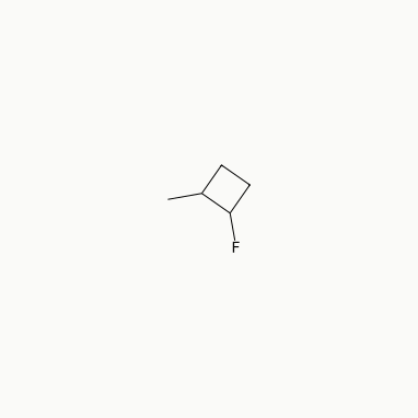 CC1CCC1F